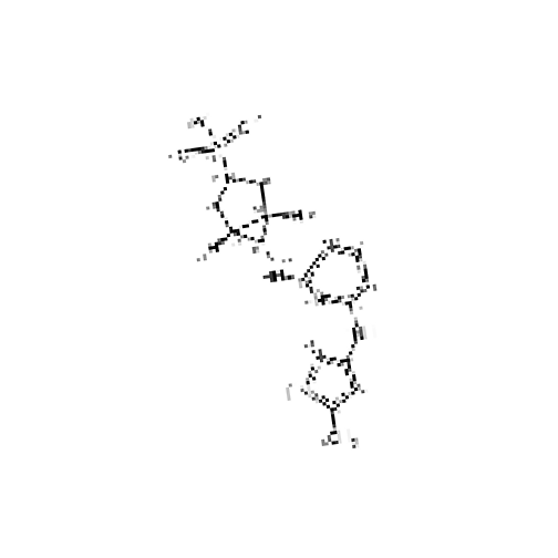 Cc1cc(Nc2ccnc(N[C@@H]3[C@@H]4CN(S(=O)(=O)C(C)C)C[C@@H]43)n2)n[nH]1